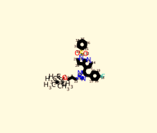 CC(C)(C)[Si](C)(C)OCCCn1nc(-c2ccc(F)cc2)c(-c2ccnc3c2ccn3S(=O)(=O)c2ccccc2)n1